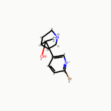 OC1(c2ccc(Br)nc2)CN2CCC1CC2